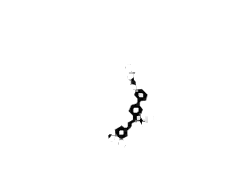 COCOCOc1cccc(-c2ccc3c(C=Cc4ccc(OC)c(OC)c4)n[nH]c3c2)c1